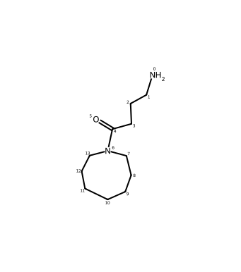 NCCCC(=O)N1CCCCCCC1